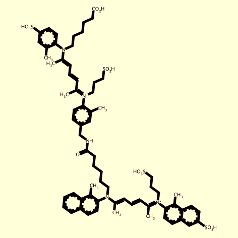 C\C(=C/C=C/C(C)=[N+](\CCCS(=O)(=O)O)c1ccc(CNC(=O)CCCCCN(/C(C)=C/C=C/C(C)=[N+](\CCCS(=O)(=O)O)c2ccc3cc(S(=O)(=O)O)ccc3c2C)c2ccc3ccccc3c2C)cc1C)N(CCCCCC(=O)O)c1ccc(S(=O)(=O)O)cc1C